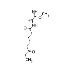 CCC(=O)CCCCC(=O)NNC(=N)OC